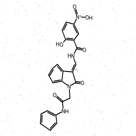 O=C(CN1C(=O)/C(=C/NC(=O)c2cc([N+](=O)O)ccc2O)c2ccccc21)Nc1ccccc1